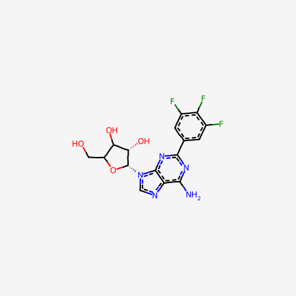 Nc1nc(-c2cc(F)c(F)c(F)c2)nc2c1ncn2[C@@H]1OC(CO)C(O)[C@@H]1O